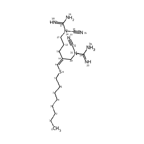 CCCCCCCCSC=C(CCCN(C#N)C(=N)N)CN(C#N)C(=N)N